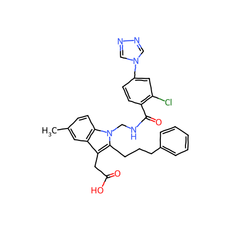 Cc1ccc2c(c1)c(CC(=O)O)c(CCCc1ccccc1)n2CNC(=O)c1ccc(-n2cnnc2)cc1Cl